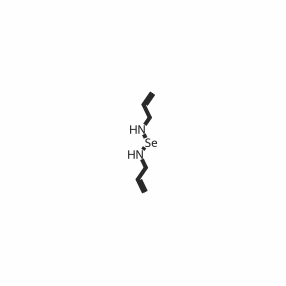 C=CCN[Se]NCC=C